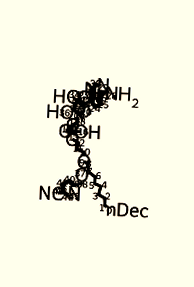 CCCCCCCCCCCCCCCCC(COCCCOP(=O)(O)OC[C@H]1O[C@@](C#N)(c2ccc3c(N)ncnn23)[C@H](O)[C@@H]1O)OCc1ccc(C#N)cn1